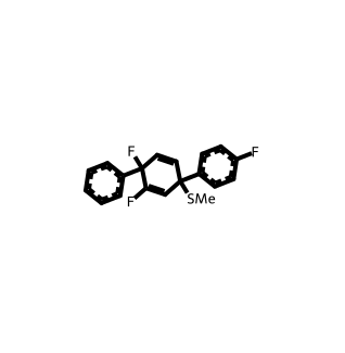 CSC1(c2ccc(F)cc2)C=CC(F)(c2ccccc2)C(F)=C1